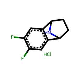 Cl.Fc1cc2c(cc1F)C1CCC2N1